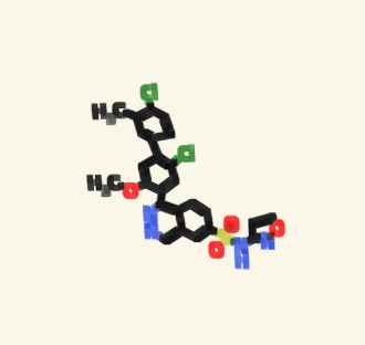 COc1cc(-c2ccc(Cl)c(C)c2)c(Cl)cc1-c1nncc2cc(S(=O)(=O)Nc3ccon3)ccc12